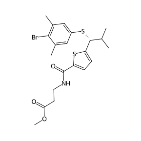 COC(=O)CCNC(=O)c1ccc([C@H](Sc2cc(C)c(Br)c(C)c2)C(C)C)s1